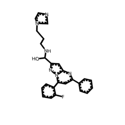 OC(NCCCn1ccnc1)c1cc2nc(-c3ccccc3)cc(-c3ccccc3F)n2n1